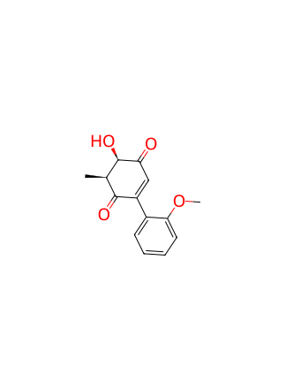 COc1ccccc1C1=CC(=O)[C@H](O)[C@H](C)C1=O